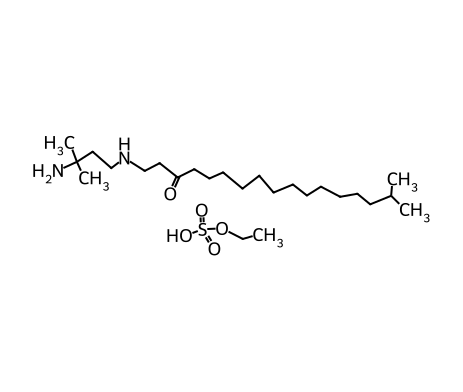 CC(C)CCCCCCCCCCCCC(=O)CCNCCC(C)(C)N.CCOS(=O)(=O)O